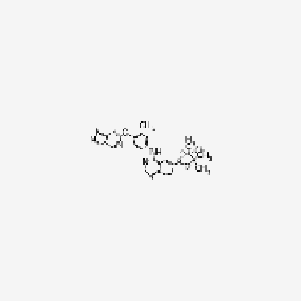 Cc1cc(Nc2ncnc3ccc(B4OC(C)(C)C(C)(C)O4)cc23)ccc1Oc1cc2nncn2cn1